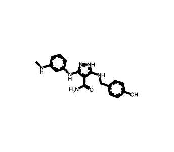 CNc1cccc(Nc2n[nH]c(NCc3ccc(O)cc3)c2C(N)=O)c1